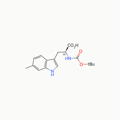 Cc1ccc2c(C[C@H](NC(=O)OC(C)(C)C)C(=O)O)c[nH]c2c1